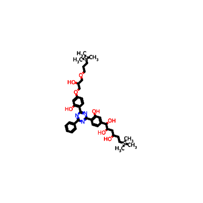 C[Si](C)(C)CCCOCC(O)COc1ccc(-c2nc(-c3ccccc3)nc(-c3ccc(C(O)C(O)CC(O)CC[Si](C)(C)C)cc3O)n2)c(O)c1